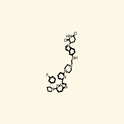 O=C1CCC(n2ccc3cc(NCCN4CCN(c5cccc(-c6cnc7ccc(N8CCC[C@@H]8c8cccc(F)c8)nn67)n5)CC4)ccc32)C(=O)N1